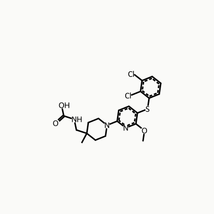 COc1nc(N2CCC(C)(CNC(=O)O)CC2)ccc1Sc1cccc(Cl)c1Cl